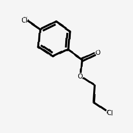 O=C(OCCCl)c1ccc(Cl)cc1